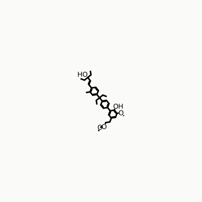 CCC(O)(/C=C/c1ccc(C(CC)(CC)c2ccc(-c3cc(CCOOC)cc(OC)c3O)cc2)cc1C)CC